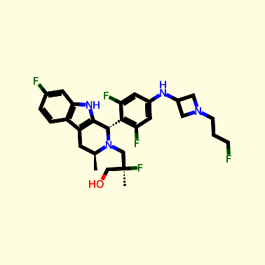 C[C@H]1Cc2c([nH]c3cc(F)ccc23)[C@H](c2c(F)cc(NC3CN(CCCF)C3)cc2F)N1C[C@@](C)(F)CO